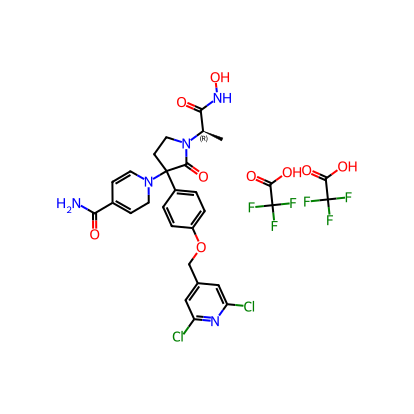 C[C@H](C(=O)NO)N1CCC(c2ccc(OCc3cc(Cl)nc(Cl)c3)cc2)(N2C=CC(C(N)=O)=CC2)C1=O.O=C(O)C(F)(F)F.O=C(O)C(F)(F)F